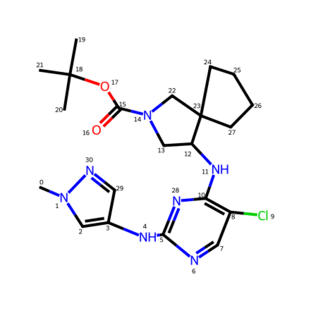 Cn1cc(Nc2ncc(Cl)c(NC3CN(C(=O)OC(C)(C)C)CC34CCCC4)n2)cn1